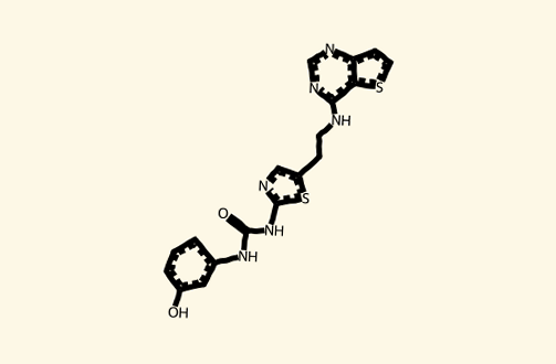 O=C(Nc1cccc(O)c1)Nc1ncc(CCNc2ncnc3ccsc23)s1